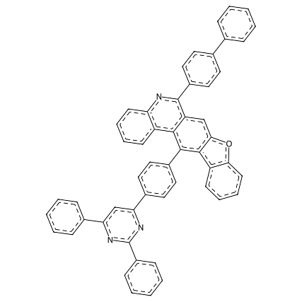 c1ccc(-c2ccc(-c3nc4ccccc4c4c(-c5ccc(-c6cc(-c7ccccc7)nc(-c7ccccc7)n6)cc5)c5c(cc34)oc3ccccc35)cc2)cc1